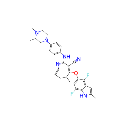 Cc1cc2c(F)c(O/C3=C(C#N)/C(Nc4ccc(N5CCN(C)C(C)C5)cc4)=N\C=C\CC3C)cc(F)c2[nH]1